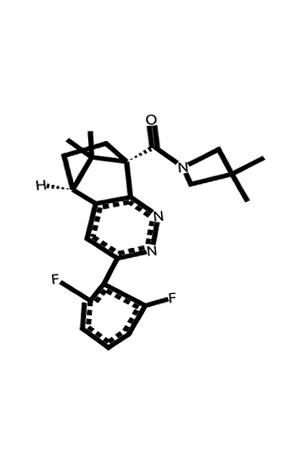 CC1(C)CN(C(=O)[C@]23CC[C@H](c4cc(-c5c(F)cccc5F)nnc42)C3(C)C)C1